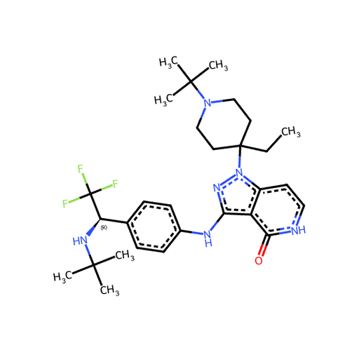 CCC1(n2nc(Nc3ccc([C@@H](NC(C)(C)C)C(F)(F)F)cc3)c3c(=O)[nH]ccc32)CCN(C(C)(C)C)CC1